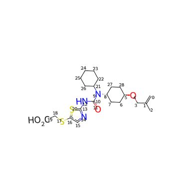 C=C(C)CO[C@H]1CC[C@H](N(C(=O)Nc2ncc(SCC(=O)O)s2)C2CCCCC2)CC1